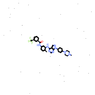 Cc1ccc(NC(=O)c2cccc(C(F)(F)F)c2)cc1Nc1ncnc2c1cnn2-c1ccc(N2CCN(C)CC2)cc1